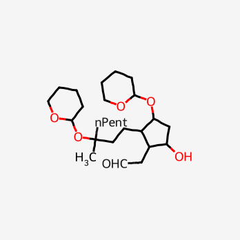 CCCCCC(C)(CCC1C(OC2CCCCO2)CC(O)C1CC=O)OC1CCCCO1